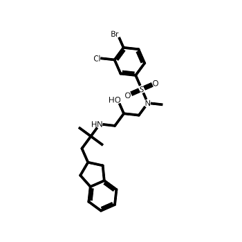 CN(CC(O)CNC(C)(C)CC1Cc2ccccc2C1)S(=O)(=O)c1ccc(Br)c(Cl)c1